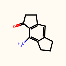 Nc1c2c(cc3c1C(=O)CC3)CCC2